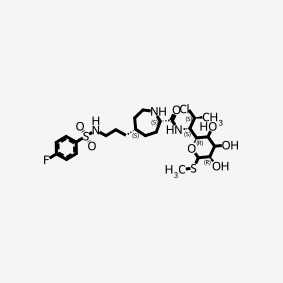 CSC1O[C@H]([C@H](NC(=O)[C@@H]2CC[C@H](CCCNS(=O)(=O)c3ccc(F)cc3)CCN2)[C@H](C)Cl)C(O)C(O)[C@H]1O